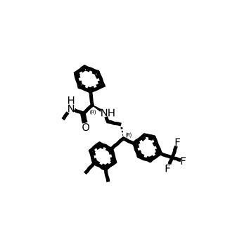 CNC(=O)[C@H](NCC[C@H](c1ccc(C(F)(F)F)cc1)c1ccc(C)c(C)c1)c1ccccc1